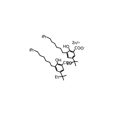 CCC(C)(C)c1cc(CCCCCCC(C)C)c(O)c(C(=O)[O-])c1.CCC(C)(C)c1cc(CCCCCCC(C)C)c(O)c(C(=O)[O-])c1.[Zn+2]